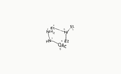 CC(=O)ONN.CCN(CC)CC